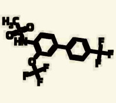 CS(=O)(=O)Nc1ccc(-c2ccc(C(F)(F)F)cc2)cc1OC(F)(F)F